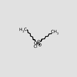 CCCCCCC=COP(=O)(Cl)OC=CCCCCCC